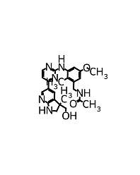 COc1cc(CNC(C)=O)c(C)c(Nc2nccc(-c3cnc4c(c3)C(C)(CO)CN4)n2)c1